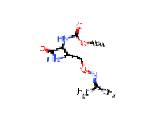 CC(C)=NOCC1NC(=O)C1NC(=O)OC(C)(C)C